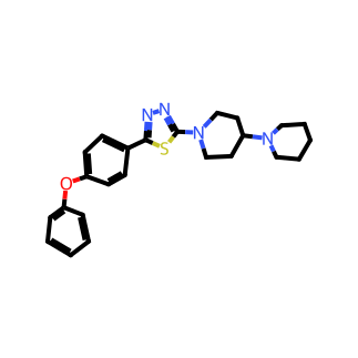 c1ccc(Oc2ccc(-c3nnc(N4CCC(N5CCCCC5)CC4)s3)cc2)cc1